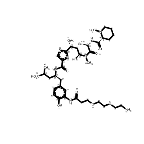 CC[C@H](C)[C@H](NC(=O)[C@H]1CCCCN1C)C(=O)N(C)[C@H](C[C@@H](OC(C)=O)c1nc(C(=O)N[C@@H](Cc2ccc(O)c(NC(=O)CCOCCOCCN)c2)CC(C)C(=O)O)cs1)C(C)C